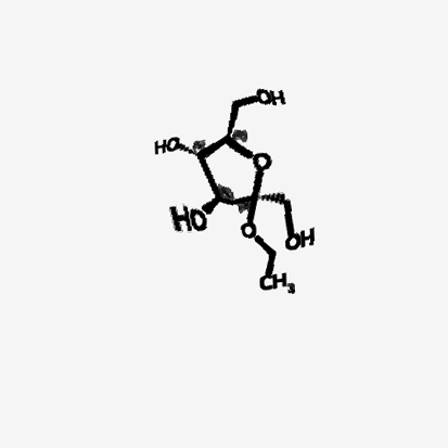 CCO[C@]1(CO)O[C@H](CO)[C@@H](O)[C@@H]1O